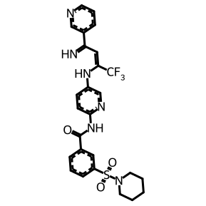 N=C(/C=C(\Nc1ccc(NC(=O)c2cccc(S(=O)(=O)N3CCCCC3)c2)nc1)C(F)(F)F)c1cccnc1